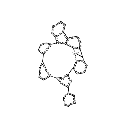 C[Si]1(C)c2c3cccc2-c2ccc4c5ccccc5n(c4c21)-c1cccc(c1)-c1cccc(c1)-c1nc(-c2ccccc2)nc-3n1